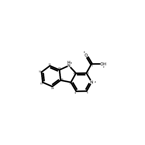 O=C(O)c1nccc2c1[nH]c1ccccc12